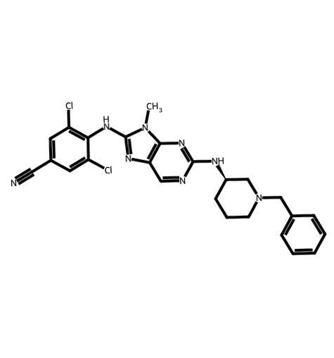 Cn1c(Nc2c(Cl)cc(C#N)cc2Cl)nc2cnc(N[C@@H]3CCCN(Cc4ccccc4)C3)nc21